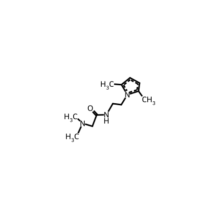 Cc1ccc(C)n1CCNC(=O)CN(C)C